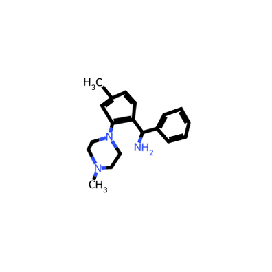 Cc1ccc(C(N)c2ccccc2)c(N2CCN(C)CC2)c1